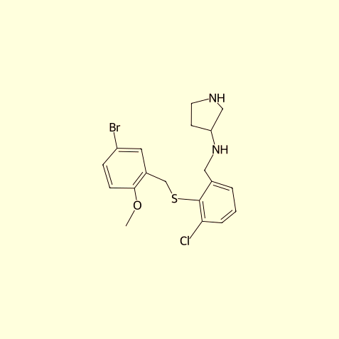 COc1ccc(Br)cc1CSc1c(Cl)cccc1CNC1CCNC1